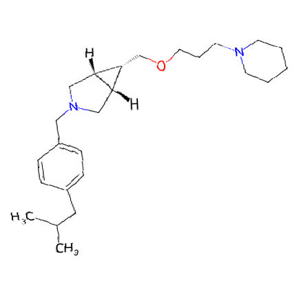 CC(C)Cc1ccc(CN2C[C@@H]3[C@H](COCCCN4CCCCC4)[C@@H]3C2)cc1